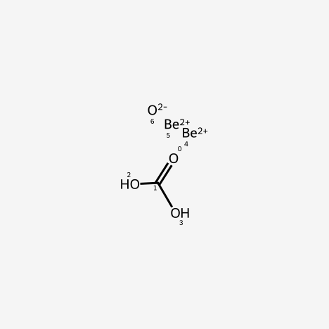 O=C(O)O.[Be+2].[Be+2].[O-2]